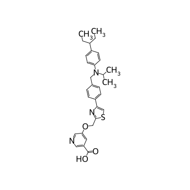 CCC(CC)c1ccc(N(Cc2ccc(-c3csc(COc4cncc(C(=O)O)c4)n3)cc2)C(C)C)cc1